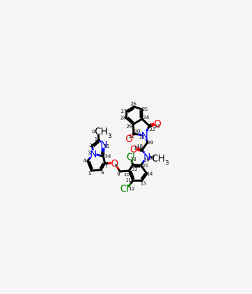 Cc1cn2cccc(OCc3c(Cl)ccc(N(C)C(=O)CN4C(=O)c5ccccc5C4=O)c3Cl)c2n1